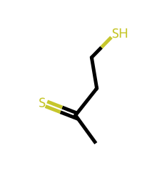 CC(=S)CCS